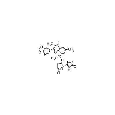 Cc1cc([C@@H](C)Oc2ccc(Cl)nc2-c2noc(=O)[nH]2)c2oc(-c3cnc4c(c3)OCO4)c(C)c(=O)c2c1